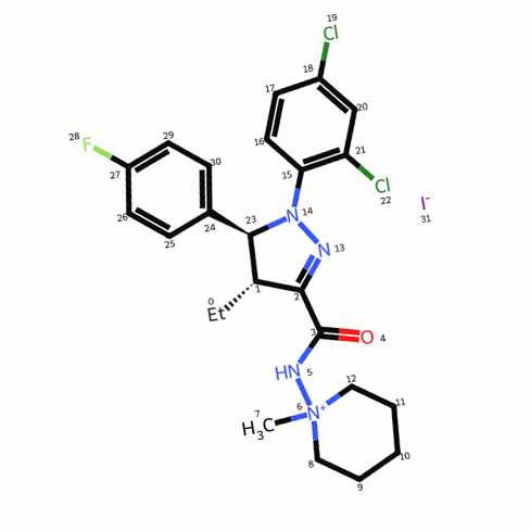 CC[C@H]1C(C(=O)N[N+]2(C)CCCCC2)=NN(c2ccc(Cl)cc2Cl)[C@@H]1c1ccc(F)cc1.[I-]